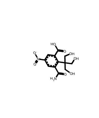 NC(=O)c1cc([N+](=O)[O-])cc(C(=O)O)c1C(CO)(CO)CO